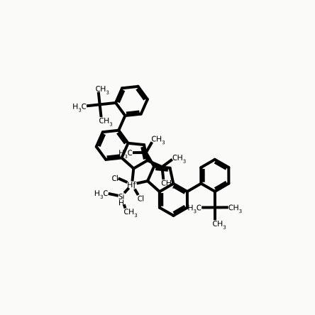 CC(C)C1=Cc2c(-c3ccccc3C(C)(C)C)cccc2[CH]1[Hf]([Cl])([Cl])([CH]1C(C(C)C)=Cc2c(-c3ccccc3C(C)(C)C)cccc21)[SiH](C)C